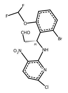 O=CC[C@@H](Nc1nc(Cl)ccc1[N+](=O)[O-])c1c(Br)cccc1OC(F)F